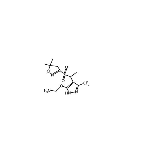 CC(c1c(C(F)(F)F)n[nH]c1OCC(F)(F)F)S(=O)(=O)C1=NOC(C)(C)C1